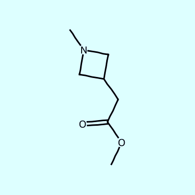 COC(=O)CC1CN(C)C1